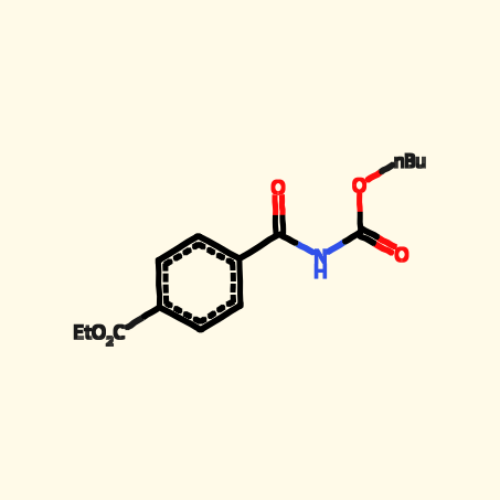 CCCCOC(=O)NC(=O)c1ccc(C(=O)OCC)cc1